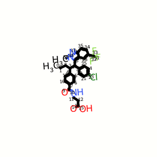 CCCC(c1ccc(C(=O)NCCC(=O)O)cc1)C(c1ccc(Cl)cc1)c1c2cc(C(F)(F)F)ccc2nn1C